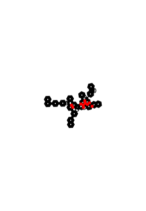 C1=CC2Oc3ccc(-c4ccccc4N(c4ccc(-c5ccc(-c6cccc7ccccc67)cc5)cc4)c4ccc(-c5cccc(-c6ccc7ccccc7c6)c5)cc4)cc3C2C=C1c1cc(-c2ccc3ccccc3c2)cc(N(c2ccc3oc4ccccc4c3c2)c2ccccc2-c2ccc3oc4ccccc4c3c2)c1